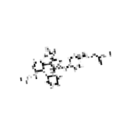 COc1cccc(-c2c(C(F)(F)F)nn(CC3CCC(COCC(=O)O)CC3)c2-c2ccccc2)c1